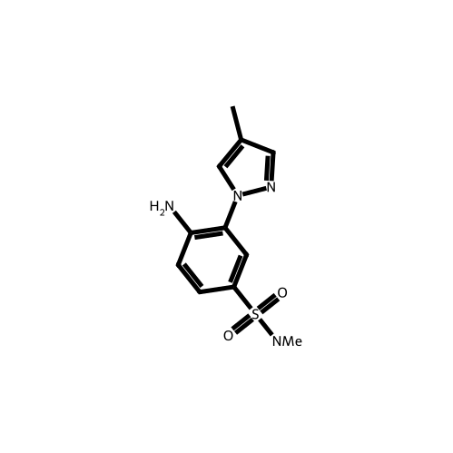 CNS(=O)(=O)c1ccc(N)c(-n2cc(C)cn2)c1